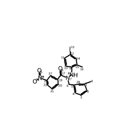 Cc1cccc(CN(Nc2ccc(I)cc2C)C(=O)c2cccc([N+](=O)[O-])c2)c1